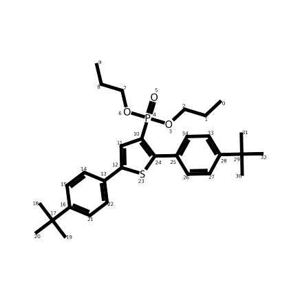 CCCOP(=O)(OCCC)c1cc(-c2ccc(C(C)(C)C)cc2)sc1-c1ccc(C(C)(C)C)cc1